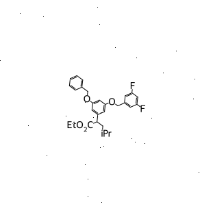 CCOC(=O)C(CC(C)C)c1cc(OCc2ccccc2)cc(OCc2cc(F)cc(F)c2)c1